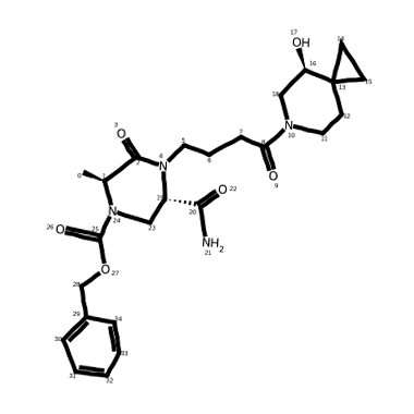 C[C@H]1C(=O)N(CCCC(=O)N2CCC3(CC3)[C@H](O)C2)[C@H](C(N)=O)CN1C(=O)OCc1ccccc1